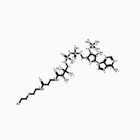 CC(=O)CCSCCNC(=O)CCNC(=O)[C@H](O)C(C)(C)COP(=O)(O)OP(=O)(O)OC[C@@H]1O[C@H](n2cnc3c(N)ncnc32)[C@H](O)[C@@H]1O[PH](O)(O)O